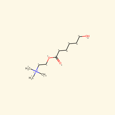 C[N+](C)(C)CCOC(=O)CCCCCO